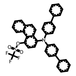 O=S(=O)(Oc1ccc(N(c2ccc(-c3ccccc3)cc2)c2ccc(-c3ccccc3)cc2)c2ccc3ccccc3c12)C(F)(F)F